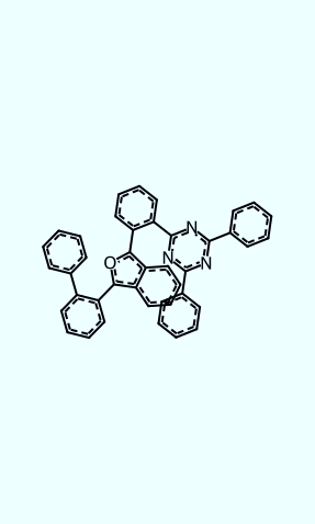 c1ccc(-c2nc(-c3ccccc3)nc(-c3ccccc3-c3oc(-c4ccccc4-c4ccccc4)c4ccccc34)n2)cc1